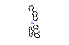 c1ccc(-c2ccc3ccc(Nc4ccc5c(c4)C4(c6ccccc6S5)c5ccccc5-c5ccccc54)cc3c2)cc1